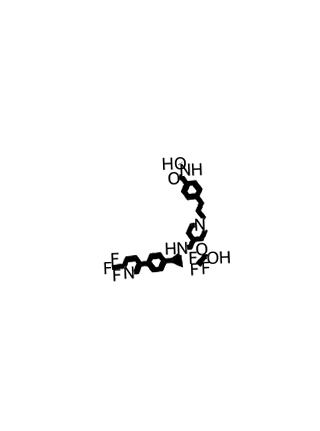 O=C(NO)c1ccc(CCCN2CCC(CNC3CC3c3ccc(-c4ccc(C(F)(F)F)nc4)cc3)CC2)cc1.O=C(O)C(F)(F)F